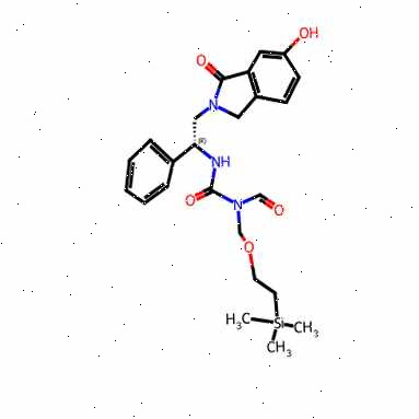 C[Si](C)(C)CCOCN(C=O)C(=O)N[C@@H](CN1Cc2ccc(O)cc2C1=O)c1ccccc1